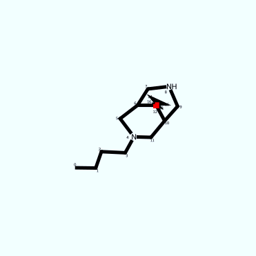 CCCCN1CC2CNCC(C1)C21CCCC1